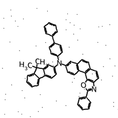 CC1(C)c2ccccc2-c2ccc(N(c3ccc(-c4ccccc4)cc3)c3ccc4c(ccc5ccc6nc(-c7ccccc7)oc6c54)c3)cc21